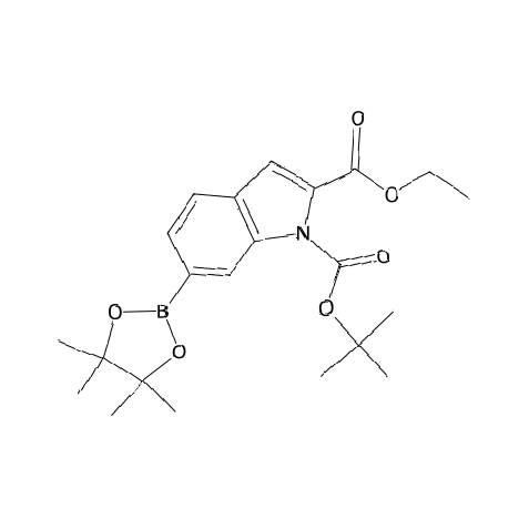 CCOC(=O)c1cc2ccc(B3OC(C)(C)C(C)(C)O3)cc2n1C(=O)OC(C)(C)C